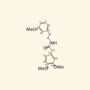 COc1cccc(CCNC(=O)Cc2ccc(OC)c(OC)c2)c1